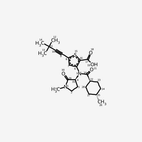 CN1CC[C@H](N(c2cc(C#CC(C)(C)C)sc2C(=O)O)C(=O)[C@H]2CC[C@H](C)CC2)C1=O